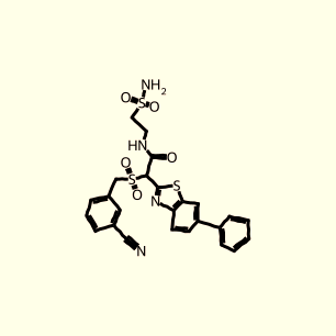 N#Cc1cccc(CS(=O)(=O)C(C(=O)NCCS(N)(=O)=O)c2nc3ccc(-c4ccccc4)cc3s2)c1